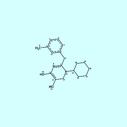 Cc1cccc(CC2=NC(O)=C(O)CN2C2CCCCC2)c1